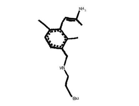 CCC(C)CCNCc1ccc(C)c(/C=C(\C)N)c1C